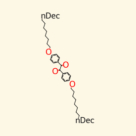 CCCCCCCCCCCCCCCCCCOc1ccc(C(=O)C(=O)c2ccc(OCCCCCCCCCCCCCCCCCC)cc2)cc1